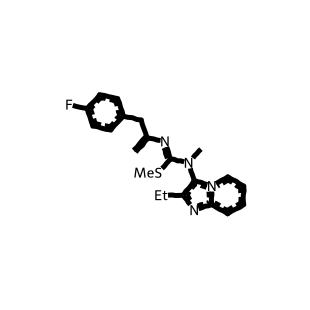 C=C(Cc1ccc(F)cc1)/N=C(\SC)N(C)c1c(CC)nc2ccccn12